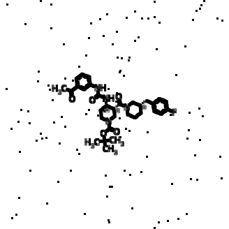 CC(=O)c1cccc(NC(=O)N[C@@H]2CCN(C(=O)OC(C)(C)C)C[C@H]2C(=O)N2CCC[C@@H](Cc3ccc(F)cc3)C2)c1